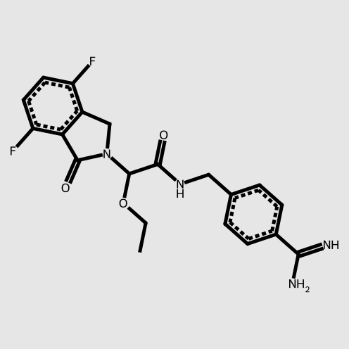 CCOC(C(=O)NCc1ccc(C(=N)N)cc1)N1Cc2c(F)ccc(F)c2C1=O